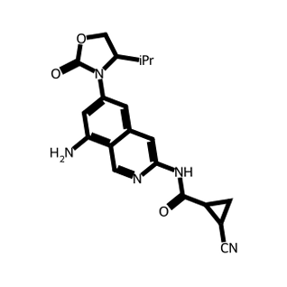 CC(C)C1COC(=O)N1c1cc(N)c2cnc(NC(=O)C3CC3C#N)cc2c1